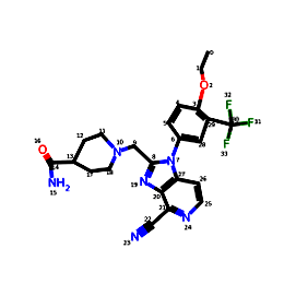 CCOc1ccc(-n2c(CN3CCC(C(N)=O)CC3)nc3c(C#N)nccc32)cc1C(F)(F)F